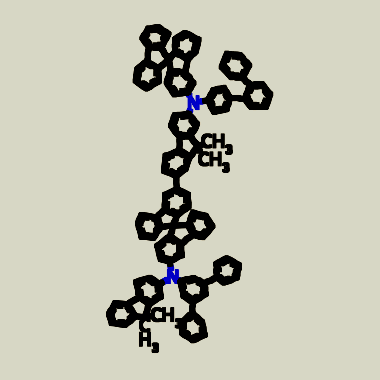 CC1(C)c2ccccc2-c2ccc(N(c3cc(-c4ccccc4)cc(-c4ccccc4)c3)c3ccc4c(c3)-c3ccccc3C43c4ccccc4-c4cc(-c5ccc6c(c5)C(C)(C)c5cc(N(c7ccc(-c8ccccc8-c8ccccc8)cc7)c7ccc8c(c7)-c7ccccc7C87c8ccccc8-c8ccccc87)ccc5-6)ccc43)cc21